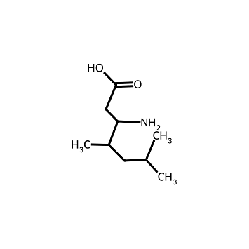 CC(C)CC(C)C(N)CC(=O)O